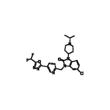 CC(C)N1CCC(n2c(=O)n(Cc3ccc(-c4nnc(C(F)F)o4)cn3)c3cc(Cl)ccc32)CC1